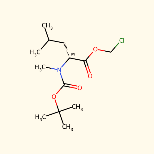 CC(C)C[C@H](C(=O)OCCl)N(C)C(=O)OC(C)(C)C